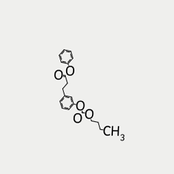 CCCCOC(=O)Oc1cccc(CCC(=O)Oc2ccccc2)c1